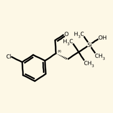 CC(C)(C[C@@H](C=O)c1cccc(Cl)c1)[Si](C)(C)O